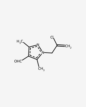 C=C(Cl)Cn1nc(C)c(C=O)c1C